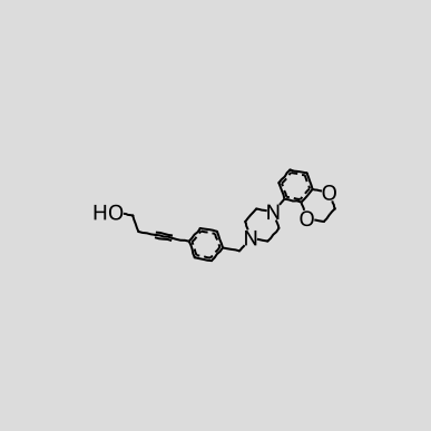 OCCC#Cc1ccc(CN2CCN(c3cccc4c3OCCO4)CC2)cc1